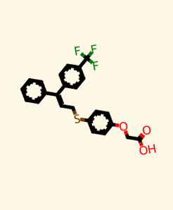 O=C(O)COc1ccc(SC/C=C(/c2ccccc2)c2ccc(C(F)(F)F)cc2)cc1